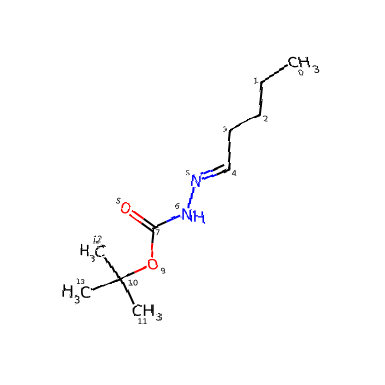 CCCC/C=N/NC(=O)OC(C)(C)C